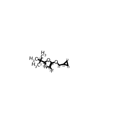 CC(C)(C)c1nc(F)c(OCC2CC2)o1